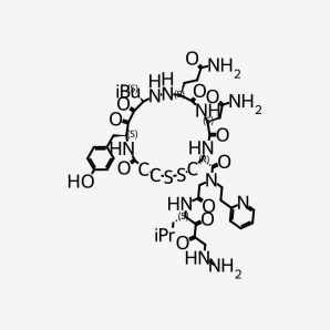 CC[C@H](C)C1NN[C@@H](CCC(N)=O)C(=O)N[C@@H](CC(N)=O)C(=O)N[C@H](C(=O)N(CCc2ccccn2)CC(=O)N[C@@H](CC(C)C)C(=O)C(=O)CNN)CSSCCC(=O)N[C@@H](Cc2ccc(O)cc2)C(=O)C1=O